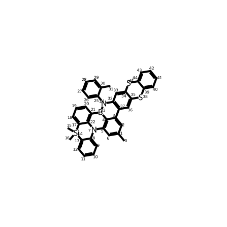 Cc1cc2c3c(c1)N1c4ccccc4[Si](C)(C)c4cccc(c41)B3N(c1ccccc1C)c1cc3c(cc1-2)Sc1ccccc1S3